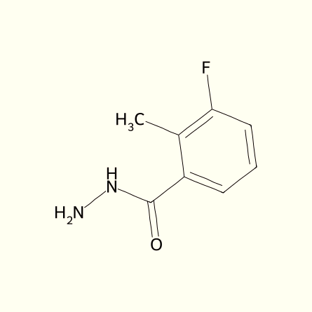 Cc1c(F)cccc1C(=O)NN